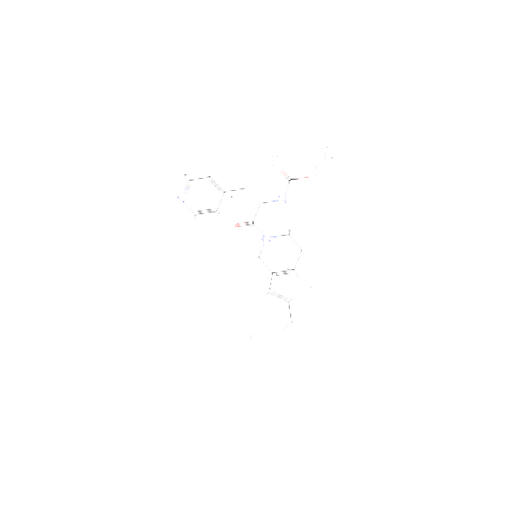 CCOC(=O)Cc1cc2c(s1)CCN(C(=O)[C@H](Cc1ccncc1)NC(=O)OC(C)(C)C)C2